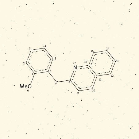 COc1ccccc1Cc1ccc2ccccc2n1